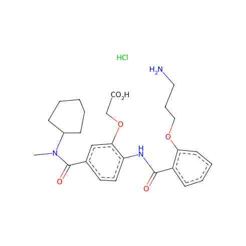 CN(C(=O)c1ccc(NC(=O)c2ccccc2OCCCN)c(OCC(=O)O)c1)C1CCCCC1.Cl